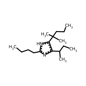 CCCCc1nc(C(C)CC)c(C(C)(C)CCC)[nH]1